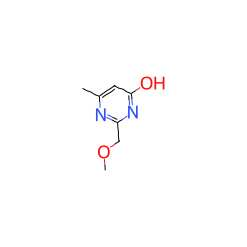 COCc1nc(C)cc(O)n1